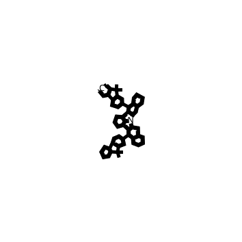 CC1(C)c2ccccc2-c2ccc(-c3c4ccccc4cc4c3c3cccc5c6c(-c7ccc8c(c7)C(C)(C)c7ccccc7-8)c7ccccc7cc6n4c35)cc21